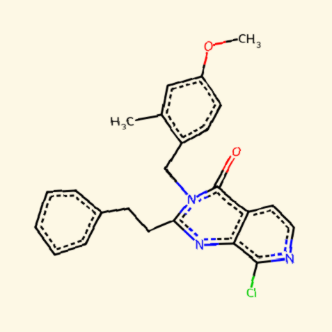 COc1ccc(Cn2c(CCc3ccccc3)nc3c(Cl)nccc3c2=O)c(C)c1